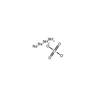 [NH2-].[NH2-].[Na+].[Na+].[O]=[Cr](=[O])([O-])[O-]